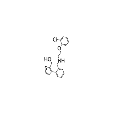 OCc1sccc1-c1ccccc1CNCCOc1ccccc1Cl